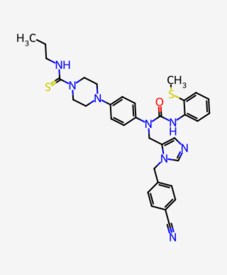 CCCNC(=S)N1CCN(c2ccc(N(Cc3cncn3Cc3ccc(C#N)cc3)C(=O)Nc3ccccc3SC)cc2)CC1